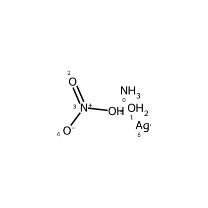 N.O.O=[N+]([O-])O.[Ag]